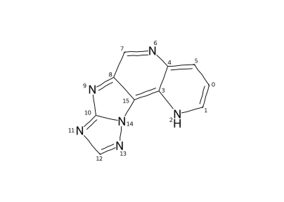 c1c[nH]c2c(c1)ncc1nc3ncnn3c12